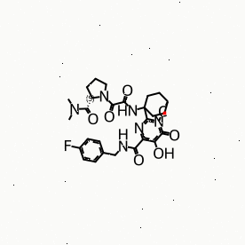 CN(C)C(=O)[C@@H]1CCCN1C(=O)C(=O)NC12CCC(CC1)Cn1c2nc(C(=O)NCc2ccc(F)cc2)c(O)c1=O